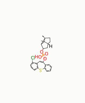 CC12C3[C@H](OP(=O)(O)OC4=Cc5c(Cl)cccc5Sc5ccccc54)C[C@H]1CC[C@@]32C